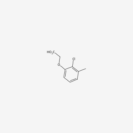 Cc1cccc(OCC(=O)O)c1Cl